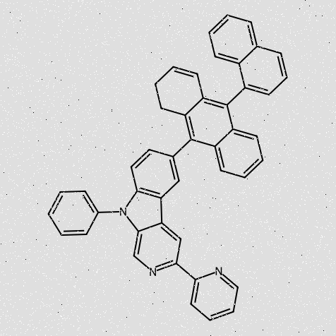 C1=Cc2c(c(-c3ccc4c(c3)c3cc(-c5ccccn5)ncc3n4-c3ccccc3)c3ccccc3c2-c2cccc3ccccc23)CC1